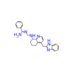 NC(=NCNC1CCCc2c(Cc3nc4ccccc4[nH]3)ccnc21)c1ccccc1